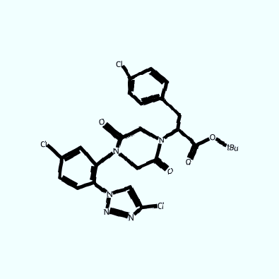 CC(C)(C)OC(=O)C(Cc1ccc(Cl)cc1)N1CC(=O)N(c2cc(Cl)ccc2-n2cc(Cl)nn2)CC1=O